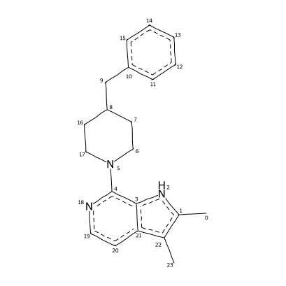 Cc1[nH]c2c(N3CCC(Cc4ccccc4)CC3)nccc2c1C